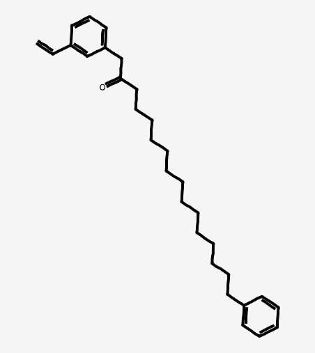 C=Cc1cccc(CC(=O)CCCCCCCCCCCCCCc2ccccc2)c1